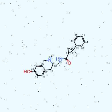 CN(C)[C@H](CNC(=O)C1C[C@@]1(C)c1ccccc1)Cc1ccc(O)cc1